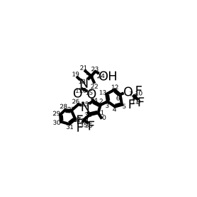 Cc1c(-c2ccc(OC(F)(F)F)cc2)c(OC(=O)N(C)C(C)(C)CO)n(Cc2ccccc2)c1C(F)(F)F